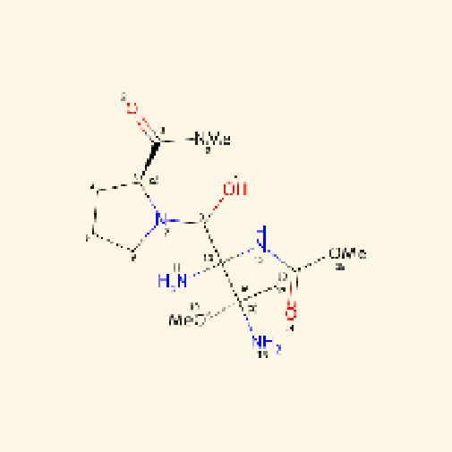 CNC(=O)[C@@H]1CCCN1C(O)C(N)(NC(=O)OC)[C@@](C)(N)OC